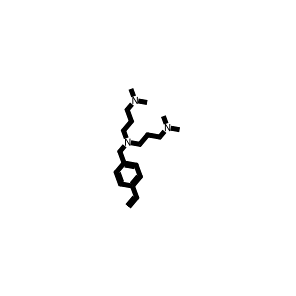 C=Cc1ccc(CN(CCCN(C)C)CCCN(C)C)cc1